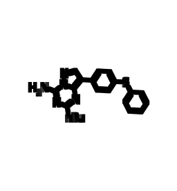 CCCCc1nc(N)n2ncc(-c3ccc(Sc4ccccc4)cc3)c2n1